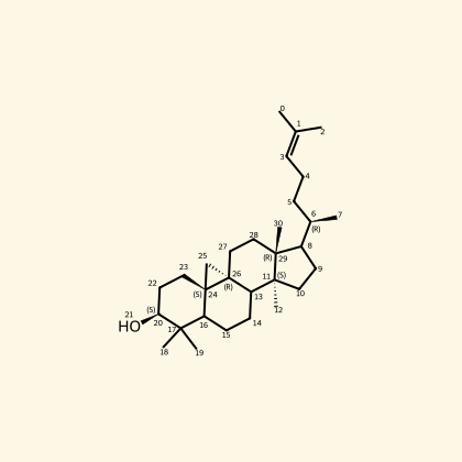 CC(C)=CCC[C@@H](C)C1CC[C@@]2(C)C3CCC4C(C)(C)[C@@H](O)CC[C@]45C[C@]35CC[C@]12C